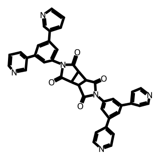 O=C1C2C(C(=O)N1c1cc(-c3ccncc3)cc(-c3ccncc3)c1)C1C(=O)N(c3cc(-c4cccnc4)cc(-c4cccnc4)c3)C(=O)C21